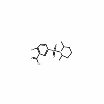 CC1CCCC(C)N1S(=O)(=O)c1ccc(F)c(C(=O)O)c1